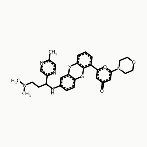 Cc1cnc(C(CCN(C)C)Nc2ccc3c(c2)Sc2cccc(-c4cc(=O)cc(N5CCOCC5)o4)c2S3)cn1